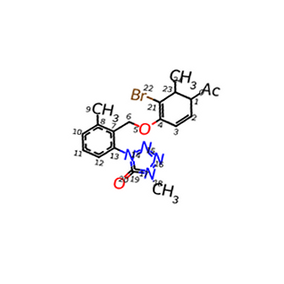 CC(=O)C1C=CC(OCc2c(C)cccc2-n2nnn(C)c2=O)=C(Br)C1C